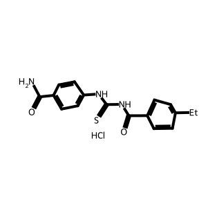 CCc1ccc(C(=O)NC(=S)Nc2ccc(C(N)=O)cc2)cc1.Cl